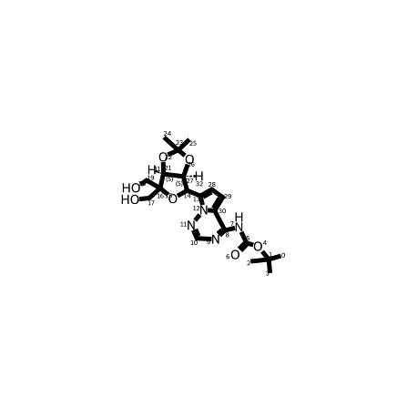 CC(C)(C)OC(=O)Nc1ncnn2c(C3OC(CO)(CO)[C@H]4OC(C)(C)O[C@@H]34)ccc12